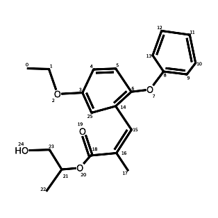 CCOc1ccc(Oc2ccccc2)c(C=C(C)C(=O)OC(C)CO)c1